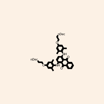 CCCCCCCCCCCCOc1cc(C)c(Nc2ccc(Nc3c(C)cc(OCCCCCCCCCCCC)cc3C)c3c2C(=O)c2ccccc2C3=O)c(C)c1